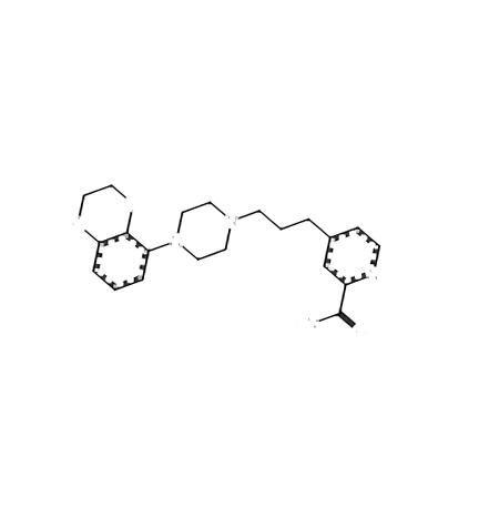 NC(=O)c1cc(C[CH]CN2CCN(c3cccc4c3OCCO4)CC2)ccn1